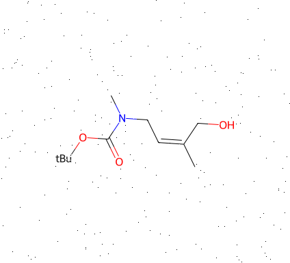 C/C(=C/CN(C)C(=O)OC(C)(C)C)CO